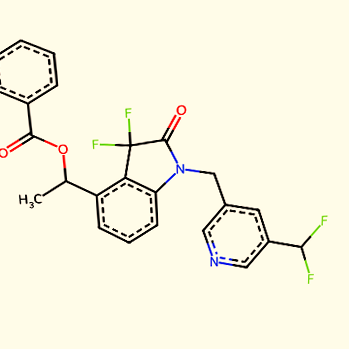 CC(OC(=O)c1ccccc1)c1cccc2c1C(F)(F)C(=O)N2Cc1cncc(C(F)F)c1